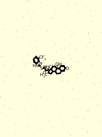 C[C@@H]1CC2C3CCC4=CC(=O)C=CC4(C)C3[C@@H](O)CC2(C)[C@@]1(O)C(=O)CSc1nc2c(C(F)(F)F)cccc2[nH]1